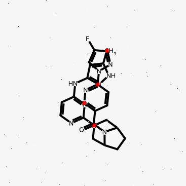 Cc1cc(Nc2ccnc(N3CC4CCC(C3)N4C(=O)c3ccc(-n4cc(F)cn4)nn3)n2)n[nH]1